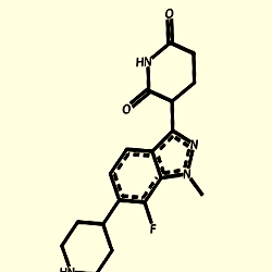 Cn1nc(C2CCC(=O)NC2=O)c2ccc(C3CCNCC3)c(F)c21